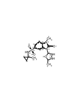 CC1NNC(n2c(=O)n(C)c3ccc(S(=O)(=O)NC4(C)CC4)cc32)O1